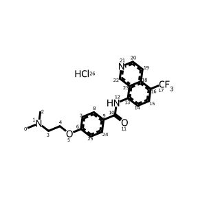 CN(C)CCOc1ccc(C(=O)Nc2ccc(C(F)(F)F)c3ccncc23)cc1.Cl